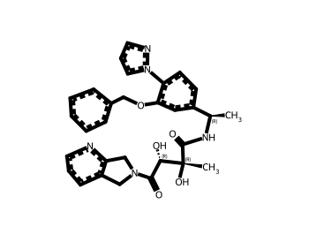 C[C@@H](NC(=O)[C@](C)(O)[C@@H](O)C(=O)N1Cc2cccnc2C1)c1ccc(-n2cccn2)c(OCc2ccccc2)c1